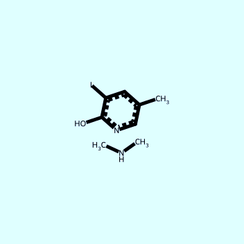 CNC.Cc1cnc(O)c(I)c1